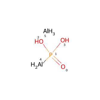 O=[P](O)(O)[AlH2].[AlH3]